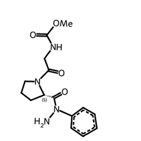 COC(=O)NCC(=O)N1CCC[C@H]1C(=O)N(N)c1ccccc1